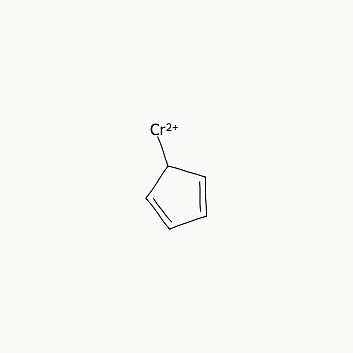 [Cr+2][CH]1C=CC=C1